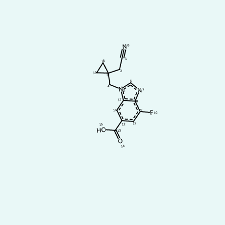 N#CCC1(Cn2cnc3c(F)cc(C(=O)O)cc32)CC1